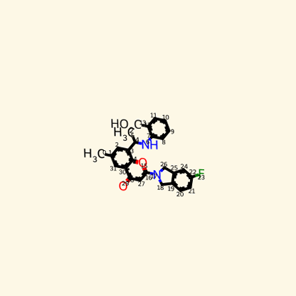 Cc1cc(C(C)Nc2ccccc2C(=O)O)c2oc(N3Cc4ccc(F)cc4C3)cc(=O)c2c1